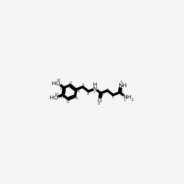 N=C(N)CCC(=O)NCCc1ccc(O)c(O)c1